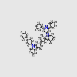 c1ccc(-c2ccc(-n3c4ccccc4c4ccc(-c5ccc6c(c5)c5ccccc5n6-c5cc(-c6ccccc6)nc(-c6ccccc6)c5)cc43)cc2)cc1